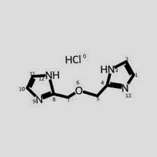 Cl.c1c[nH]c(COCc2ncc[nH]2)n1